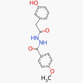 COc1ccc(C(=O)NNC(=O)Cc2cccc(O)c2)cc1